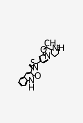 CC(Oc1cc(-c2nc(-c3cc4ccccc4[nH]c3=O)cs2)ccn1)C1CCCCN1